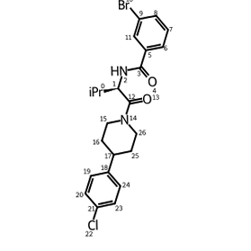 CC(C)[C@@H](NC(=O)c1cccc(Br)c1)C(=O)N1CCC(c2ccc(Cl)cc2)CC1